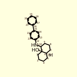 O[C@]12CCCC[C@@H]1CCCC2Nc1ccc(-c2ccccc2)cc1